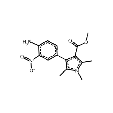 COC(=O)c1c(-c2ccc(N)c([N+](=O)[O-])c2)c(C)n(C)c1C